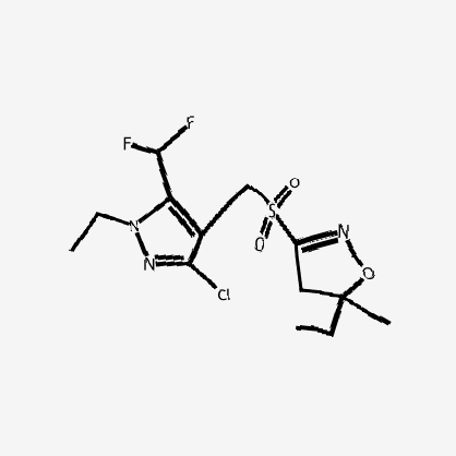 CCn1nc(Cl)c(CS(=O)(=O)C2=NOC(C)(CC)C2)c1C(F)F